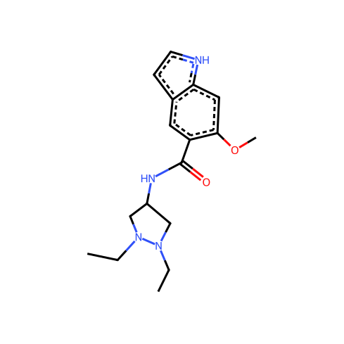 CCN1CC(NC(=O)c2cc3cc[nH]c3cc2OC)CN1CC